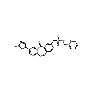 CN1CC(c2cnc3ccc4ccc(CS(=O)(=O)NCc5cccnn5)cc4c(=O)c3c2)C=N1